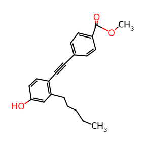 CCCCCc1cc(O)ccc1C#Cc1ccc(C(=O)OC)cc1